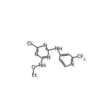 CCONc1nc(Cl)nc(Nc2ccnc(C(F)(F)F)c2)n1